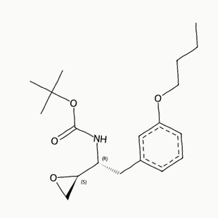 CCCCOc1cccc(C[C@@H](NC(=O)OC(C)(C)C)[C@H]2CO2)c1